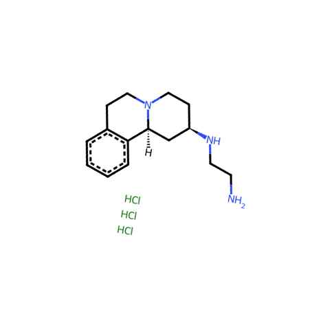 Cl.Cl.Cl.NCCN[C@@H]1CCN2CCc3ccccc3[C@@H]2C1